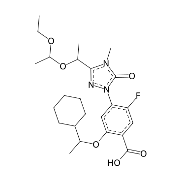 CCOC(C)OC(C)c1nn(-c2cc(OC(C)C3CCCCC3)c(C(=O)O)cc2F)c(=O)n1C